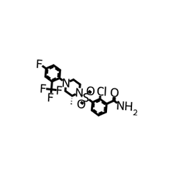 C[C@@H]1CN(c2ccc(F)cc2C(F)(F)F)CCN1S(=O)(=O)c1cccc(C(N)=O)c1Cl